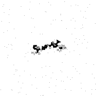 CC(C)(O)COc1ccc2c(C(=O)N[C@H]3CC4(C3)C[C@H](Oc3nn5ccccc5c3C(N)=O)C4)cnn2c1C1CC1